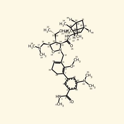 CNC(=O)c1cc(C2=C(OC)C(CN3O[C@@H](CN(C)C)[C@@H]([C@H](C)O)[C@H]3C(=O)N[C@H]3C[C@H]4C[C@@H]([C@@H]3C)C4(C)C)=CCC2)cc(N(C)C)c1